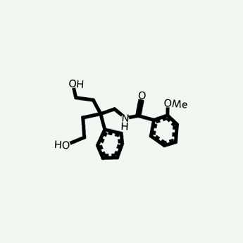 COc1ccccc1C(=O)NCC(CCO)(CCO)c1ccccc1